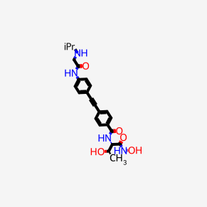 CC(C)NCC(=O)Nc1ccc(C#Cc2ccc(C(=O)N[C@H](C(=O)NO)[C@@H](C)O)cc2)cc1